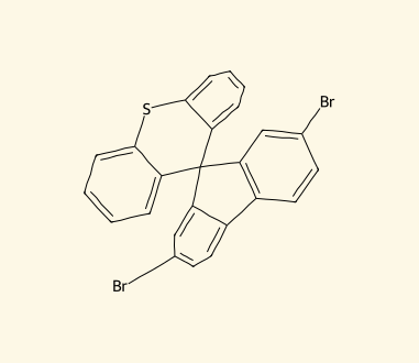 Brc1ccc2c(c1)C1(c3ccccc3Sc3ccccc31)c1cc(Br)ccc1-2